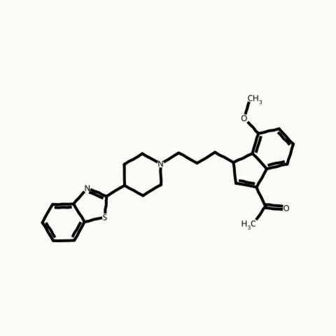 COc1cccc2c1C(CCCN1CCC(c3nc4ccccc4s3)CC1)C=C2C(C)=O